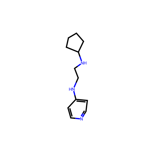 c1cc(NCCNC2CCCC2)ccn1